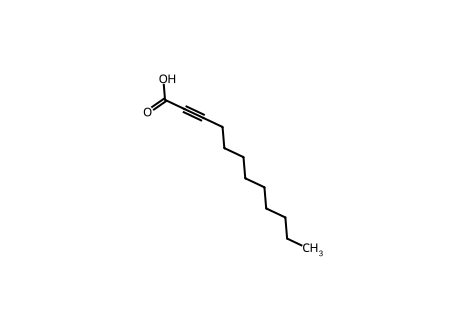 CCCCCCCCCC#CC(=O)O